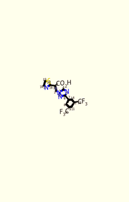 O=C(O)/C(=C\n1cnc(-c2cc(C(F)(F)F)cc(C(F)(F)F)c2)n1)c1nccs1